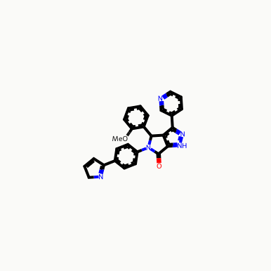 COc1ccccc1C1c2c(-c3cccnc3)n[nH]c2C(=O)N1c1ccc(C2=NCC=C2)cc1